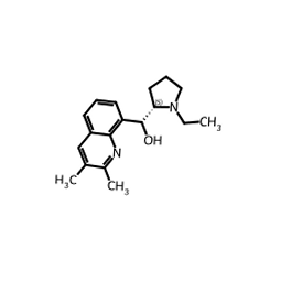 CCN1CCC[C@H]1C(O)c1cccc2cc(C)c(C)nc12